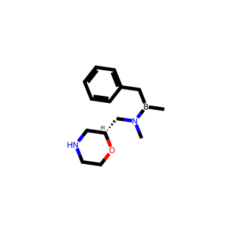 CB(Cc1ccccc1)N(C)C[C@H]1CNCCO1